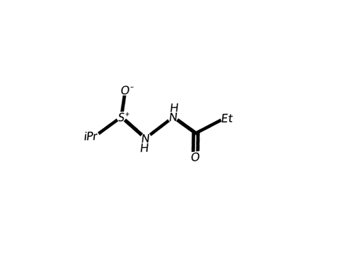 CCC(=O)NN[S+]([O-])C(C)C